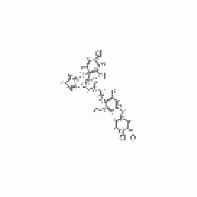 Cc1cc(CN2CCN(C=O)CC2)cc(Cl)c1OC[C@@H]1CO[C@@](Cn2ccnc2)(c2ccc(Cl)cc2Cl)O1